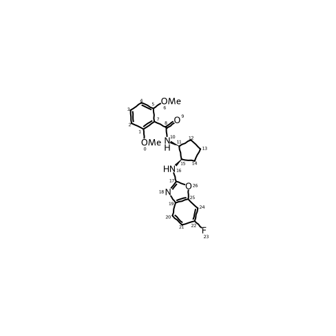 COc1cccc(OC)c1C(=O)N[C@H]1CCC[C@H]1Nc1nc2ccc(F)cc2o1